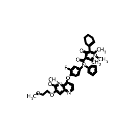 COCCOc1cc2nccc(Oc3ccc(N(C(=O)c4c(C)n(C)c(C)c(C5=CCCCC5)c4=O)c4ccccc4)cc3F)c2nc1OC